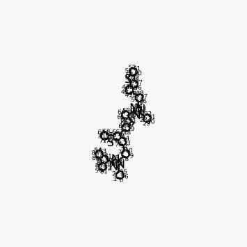 c1ccc(-c2nc(-c3cccc(-c4ccc5c(-c6ccc7sc8c(-c9nc(-c%10ccccc%10)nc(-c%10cccc(-c%11cccc%12c%11ccc%11c%13ccccc%13sc%12%11)c%10)n9)cccc8c7c6)cc6c7ccccc7sc6c5c4)c3)nc(-c3cc4ccccc4c4ccccc34)n2)cc1